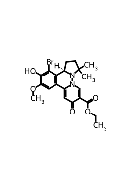 CCOC(=O)c1cn2c(cc1=O)-c1cc(OC)c(O)c(Br)c1[C@H]1CCC(C)(C)N12